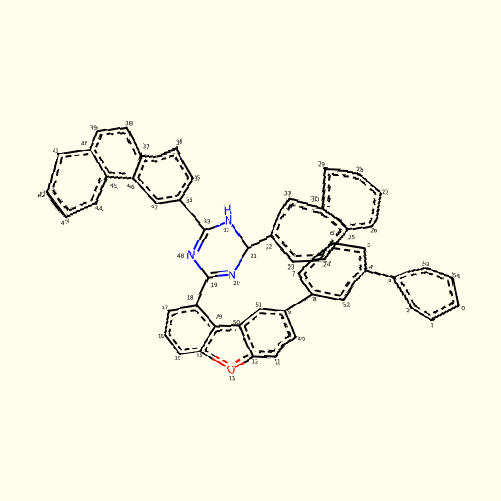 c1ccc(-c2cccc(-c3ccc4oc5cccc(C6=NC(c7ccc8ccccc8c7)NC(c7ccc8ccc9ccccc9c8c7)=N6)c5c4c3)c2)cc1